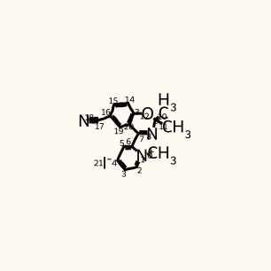 C[n+]1ccccc1C1=NC(C)(C)Oc2ccc(C#N)cc21.[I-]